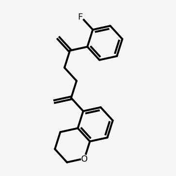 C=C(CCC(=C)c1cccc2c1CCCO2)c1ccccc1F